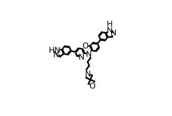 c1cc2c(cc1-c1ccc3[nH]ncc3c1)Oc1cc(-c3ccc4[nH]ncc4c3)cnc1N2CCCCN1CC2(COC2)C1